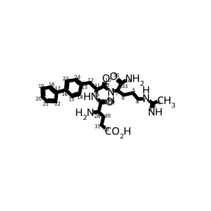 CC(=N)NCCCC(NC(=O)C(Cc1ccc(-c2ccccc2)cc1)NC(=O)C(N)CCC(=O)O)C(N)=O